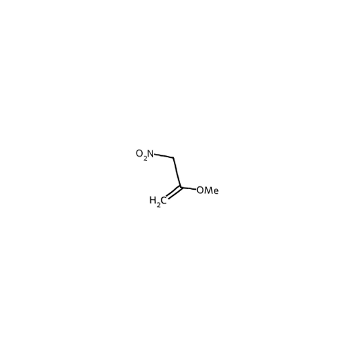 C=C(C[N+](=O)[O-])OC